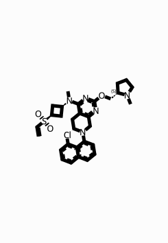 C=CS(=O)(=O)[C@H]1C[C@H](N(C)c2nc(OC[C@@H]3CCCN3C)nc3c2CCN(c2cccc4cccc(Cl)c24)C3)C1